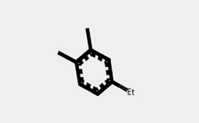 [CH2]Cc1ccc(C)c(C)c1